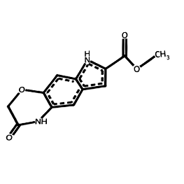 COC(=O)c1cc2cc3c(cc2[nH]1)OCC(=O)N3